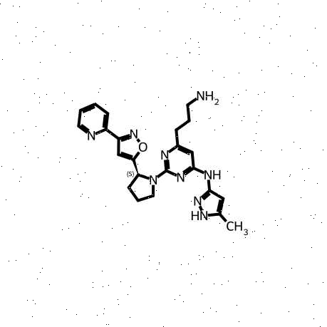 Cc1cc(Nc2cc(CCCN)nc(N3CCC[C@H]3c3cc(-c4ccccn4)no3)n2)n[nH]1